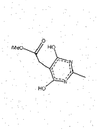 COC(=O)Cc1c(O)nc(C)nc1O